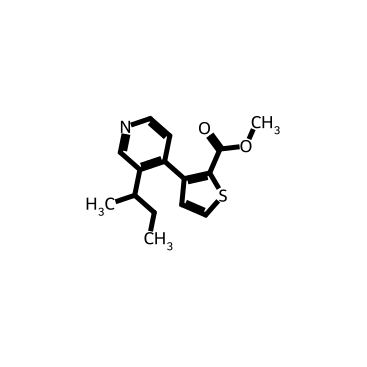 CCC(C)c1cnccc1-c1ccsc1C(=O)OC